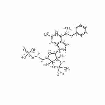 CN(Cc1ccccc1)c1nc(Cl)nc2c1cnn2[C@@H]1O[C@H](COCP(=O)(O)O)[C@H]2OC(C)(C)O[C@H]21